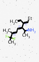 C=CC(=C\CC)/C(=C/C=C(\C)C(C)(F)F)C(C)N